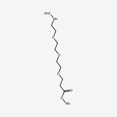 CC(C)(C)OC(=O)CCOCCOCCOCCNC=O